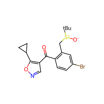 CC(C)(C)[S+]([O-])Cc1cc(Br)ccc1C(=O)c1cnoc1C1CC1